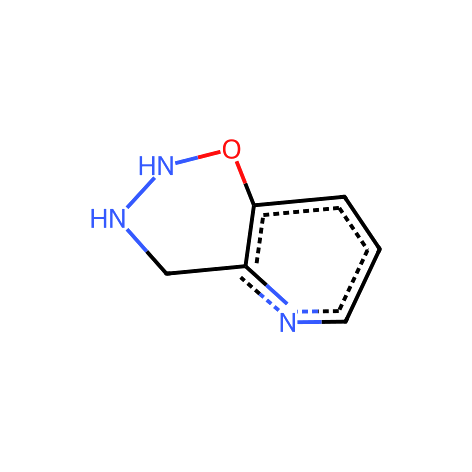 c1cnc2c(c1)ONNC2